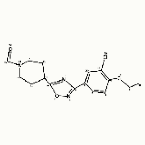 CCOc1ccc(-c2noc(C3CCN(C=O)CC3)n2)cc1Cl